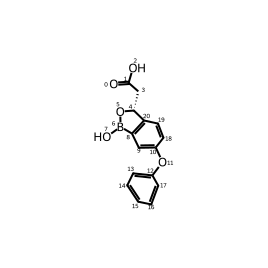 O=C(O)C[C@H]1OB(O)c2cc(Oc3ccccc3)ccc21